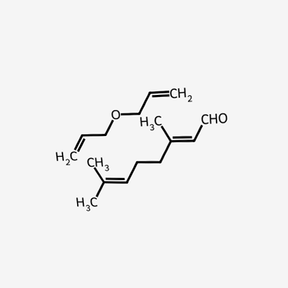 C=CCOCC=C.CC(C)=CCC/C(C)=C/C=O